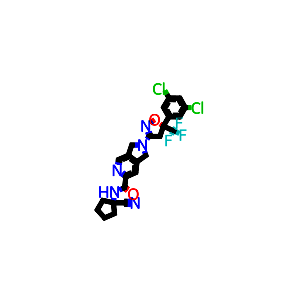 N#CC1(NC(=O)c2cc3c(cn2)CN(C2=NOC(c4cc(Cl)cc(Cl)c4)(C(F)(F)F)C2)C3)CCCC1